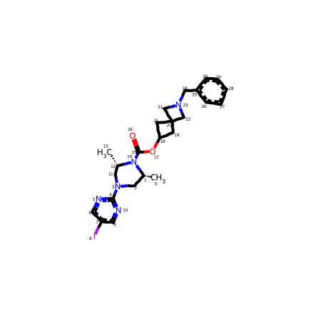 C[C@@H]1CN(c2ncc(I)cn2)C[C@H](C)N1C(=O)OC1CC2(C1)CN(Cc1ccccc1)C2